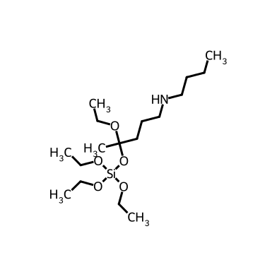 CCCCNCCCC(C)(OCC)O[Si](OCC)(OCC)OCC